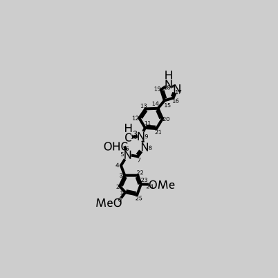 COc1cc(CN(C=O)/C=N\N(C)c2ccc(-c3cn[nH]c3)cc2)cc(OC)c1